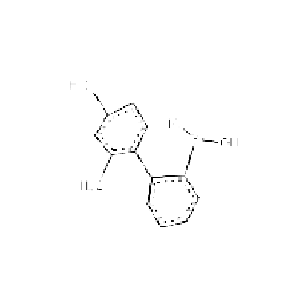 Cc1ccc(-c2ccccc2B(O)O)c(C)c1